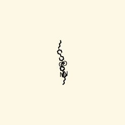 CCCCC[C@H]1CC[C@H]([C@H]2CC[C@H](C(=O)Oc3ccc(-c4ncc(CCCC)cn4)cc3)CC2)CC1